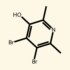 Cc1nc(C)c(Br)c(Br)c1O